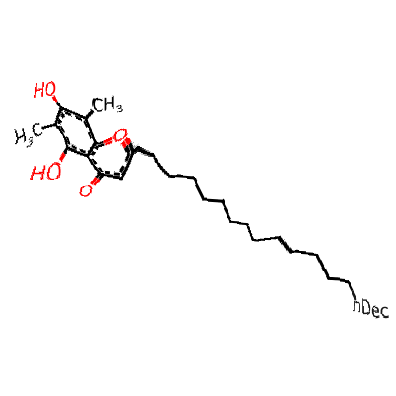 CCCCCCCCCCCCCCCCCCCCCCCc1cc(=O)c2c(O)c(C)c(O)c(C)c2o1